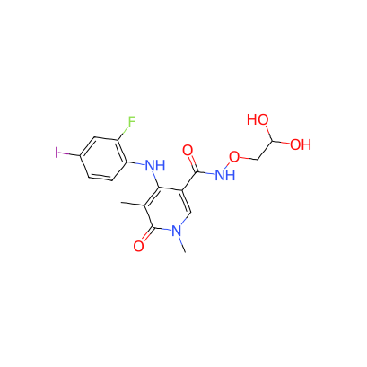 Cc1c(Nc2ccc(I)cc2F)c(C(=O)NOCC(O)O)cn(C)c1=O